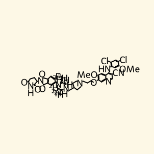 [2H]C1([2H])N(CC2CCN(CCCOc3cc4ncc(C#N)c(Nc5cc(OC)c(Cl)cc5Cl)c4cc3OC)CC2)C([2H])([2H])C([2H])([2H])N(c2cc3c(cc2F)C(=O)N(C2CCC(=O)NC2=O)C3=O)C1([2H])[2H]